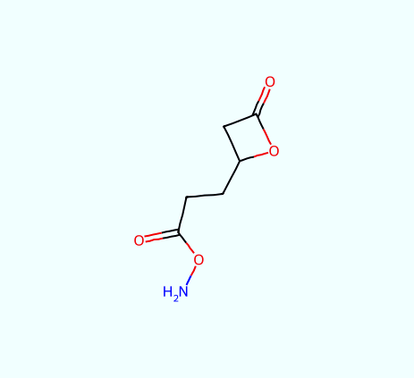 NOC(=O)CCC1CC(=O)O1